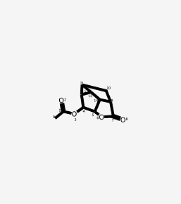 CC(=O)OC1C2OC(=O)C3CC4C1C4C32